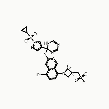 CC(C)c1ccc(N2C[C@H](CS(C)(=O)=O)[C@H]2C)c2cnc(NC3(c4cnn(S(=O)(=O)C5CC5)c4)N=CN=CN3)cc12